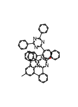 Cc1cc(-c2ccccc2-c2nc(-c3ccccc3)nc(-c3ccccc3)n2)c2sc3c(-c4ccccc4-c4nc(-c5ccccc5)nc(-c5ccccc5)n4)cc(C)cc3c2c1